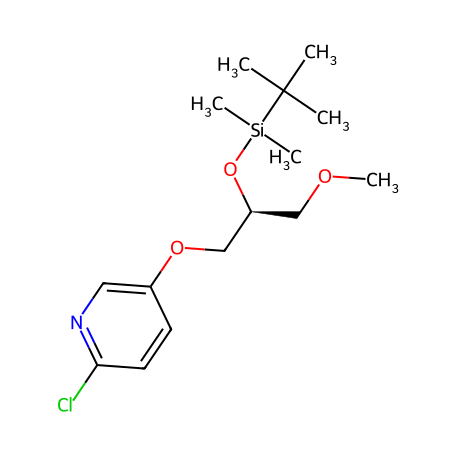 COC[C@@H](COc1ccc(Cl)nc1)O[Si](C)(C)C(C)(C)C